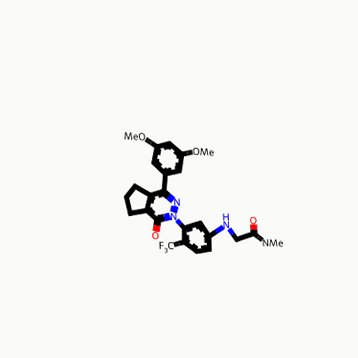 CNC(=O)CNc1ccc(C(F)(F)F)c(-n2nc(-c3cc(OC)cc(OC)c3)c3c(c2=O)CCC3)c1